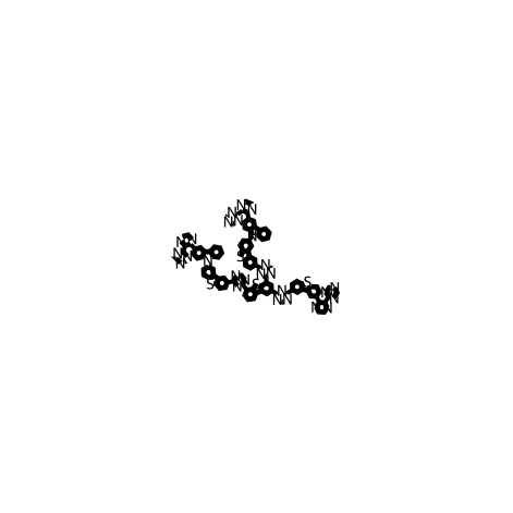 c1cc(-c2ncnc(-c3ccc4sc5ccc(-n6c7ccccc7c7cc(-c8nccnc8-c8ncncn8)ccc76)cc5c4c3)n2)c2sc3c(-c4ncnc(-c5ccc6sc7ccc(-n8c9ccccc9c9cc(-c%10nccnc%10-c%10ncncn%10)ccc98)cc7c6c5)n4)cc(-c4ncnc(-c5ccc6sc7ccc(-c8nccnc8-c8ncncn8)cc7c6c5)n4)cc3c2c1